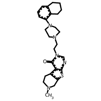 CN1CCc2c(sc3ncn(CCN4CCN(c5cccc6c5CCCC6)CC4)c(=O)c23)C1